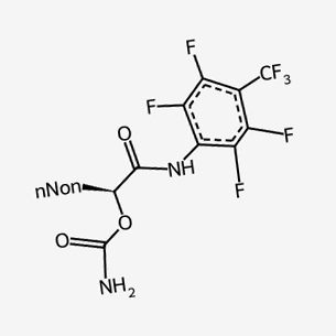 CCCCCCCCC[C@H](OC(N)=O)C(=O)Nc1c(F)c(F)c(C(F)(F)F)c(F)c1F